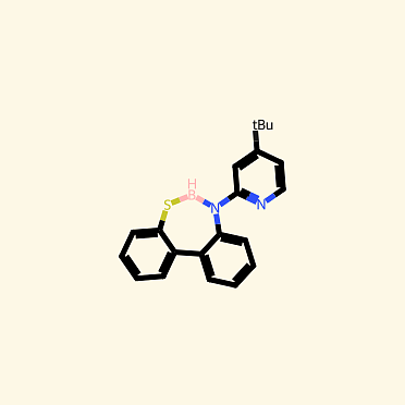 CC(C)(C)c1ccnc(N2BSc3ccccc3-c3ccccc32)c1